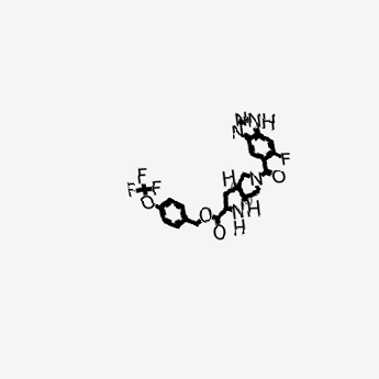 O=C(OCc1ccc(OC(F)(F)F)cc1)C1C[C@H]2CN(C(=O)c3cc4nn[nH]c4cc3F)C[C@H]2N1